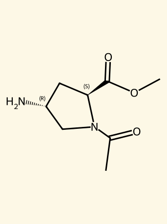 COC(=O)[C@@H]1C[C@@H](N)CN1C(C)=O